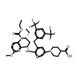 CCOC(=O)N1c2ccc(OC)nc2[C@@H](Nc2ncc(N3CCC(C(=O)O)CC3)cc2Cc2cc(C(F)(F)F)cc(C(F)(F)F)c2)C[C@H]1CC